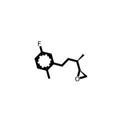 Cc1ccc(F)cc1CC[C@@H](C)[C@H]1CO1